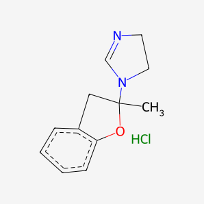 CC1(N2C=NCC2)Cc2ccccc2O1.Cl